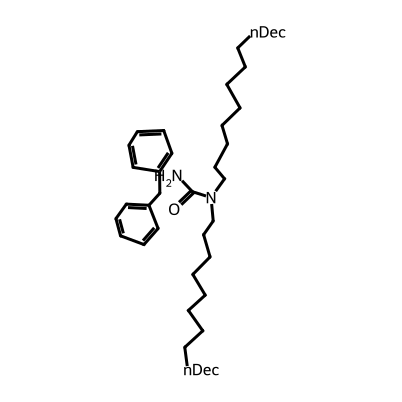 CCCCCCCCCCCCCCCCCCN(CCCCCCCCCCCCCCCCCC)C(N)=O.c1ccc(Cc2ccccc2)cc1